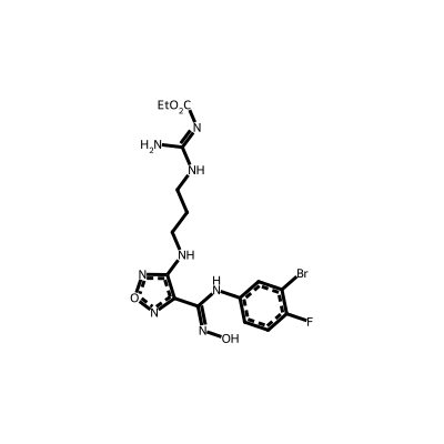 CCOC(=O)/N=C(\N)NCCCNc1nonc1/C(=N/O)Nc1ccc(F)c(Br)c1